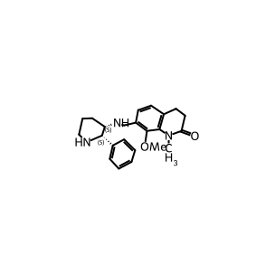 COc1c(CN[C@H]2CCCN[C@H]2c2ccccc2)ccc2c1N(C)C(=O)CC2